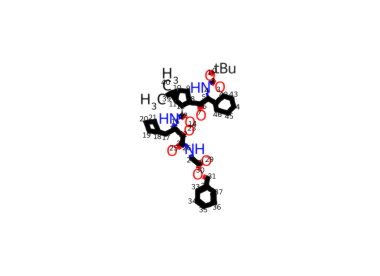 CC(C)(C)OC(=O)N[C@H](C(=O)C1CC2C([C@H]1C(=O)NC(CC1CCC1)C(=O)C(=O)NCC(=O)OCc1ccccc1)C2(C)C)C1CCCCC1